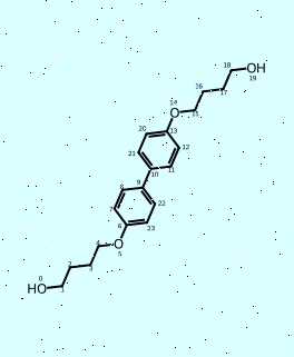 OCCCCOc1ccc(-c2ccc(OCCCCO)cc2)cc1